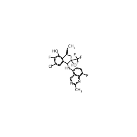 CC=C1CC(O)(C(F)(F)F)C(Nc2ccc(F)c3nc(C)ncc23)c2cc(Cl)c(F)c(O)c21